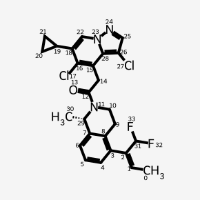 C/C=C(/c1cccc2c1CCN(C(=O)Cc1c(Cl)c(C3CC3)cn3ncc(Cl)c13)[C@H]2C)C(F)F